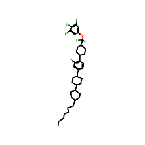 CCCCCCCC1CCC(C2CCC(c3ccc(C4CCC(C(F)(F)Oc5cc(F)c(F)c(F)c5)CC4)c(F)c3)CC2)CC1